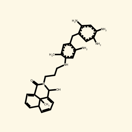 Cc1cc(Cc2cc(N)c(N)cc2N)c(N)cc1NCCCN1C(=O)C2=CC=CC3C=CC=C(C1O)C23C